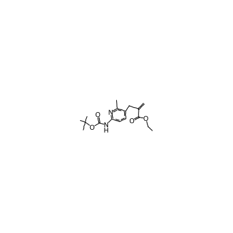 C=C(Cc1ccc(NC(=O)OC(C)(C)C)nc1C)C(=O)OCC